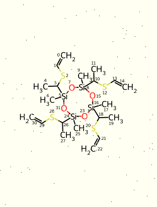 C=CSC(C)[Si]1(C)O[Si](C)(C(C)SC=C)O[Si](C)(C(C)SC=C)O[Si](C)(C(C)SC=C)O1